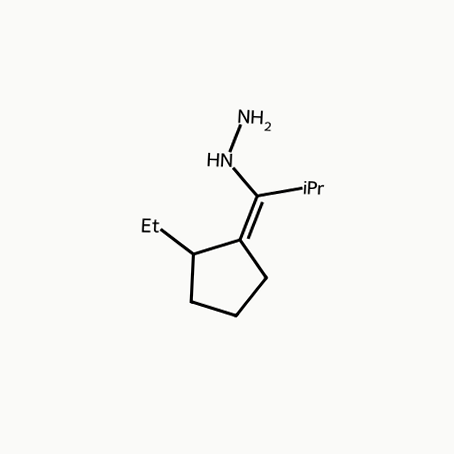 CCC1CCC/C1=C(/NN)C(C)C